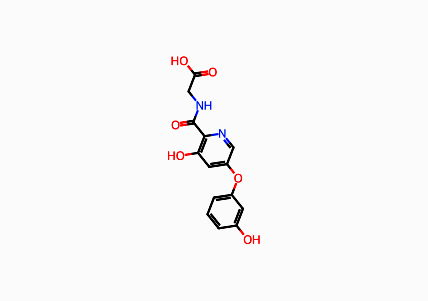 O=C(O)CNC(=O)c1ncc(Oc2cccc(O)c2)cc1O